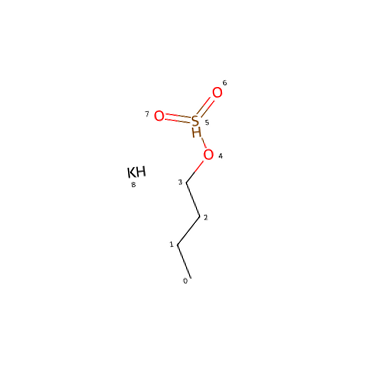 CCCCO[SH](=O)=O.[KH]